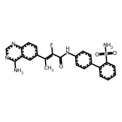 CC(=C(F)C(=O)Nc1ccc(-c2ccccc2S(N)(=O)=O)cc1)c1ccc2ncnc(N)c2c1